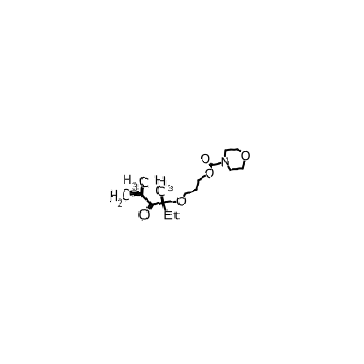 C=C(C)C(=O)C(C)(CC)OCCCOC(=O)N1CCOCC1